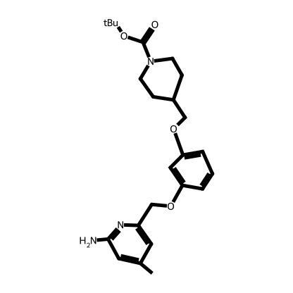 Cc1cc(N)nc(COc2cccc(OCC3CCN(C(=O)OC(C)(C)C)CC3)c2)c1